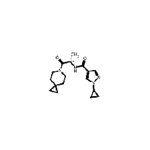 C[C@H](NC(=O)c1cnn(C2CC2)c1)C(=O)N1CCC2(CC1)CC2